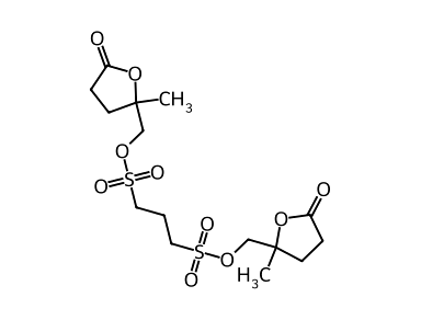 CC1(COS(=O)(=O)CCCS(=O)(=O)OCC2(C)CCC(=O)O2)CCC(=O)O1